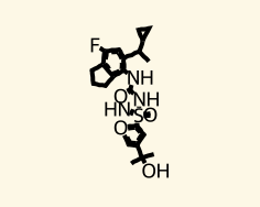 CC(c1cc(F)c2c(c1NC(=O)NS(=N)(=O)c1cc(C(C)(C)O)co1)CCC2)C1CC1